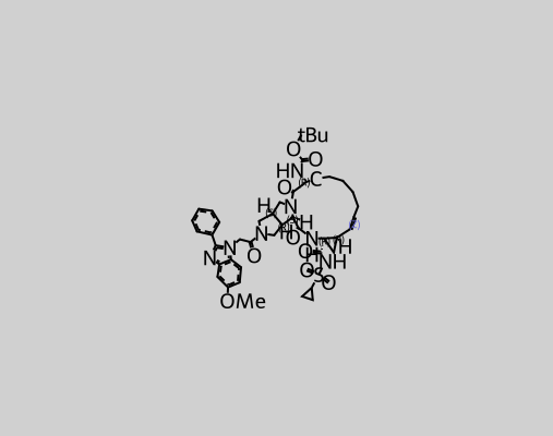 COc1ccc2c(c1)nc(-c1ccccc1)n2CC(=O)N1C[C@H]2CN3C(=O)[C@H](NC(=O)OC(C)(C)C)CCCCC/C=C\[C@H]4C[C@@]4(C(=O)NS(=O)(=O)C4CC4)NC(=O)[C@@H]3[C@H]2C1